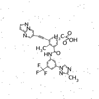 CS(=O)(=O)O.Cc1ncn(-c2cc(NC(=O)c3cccc(C#Cc4cnc5ccnn5c4)c3C)cc(C(F)(F)F)c2)n1